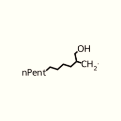 [CH2]C(CO)CCCCCCCCC